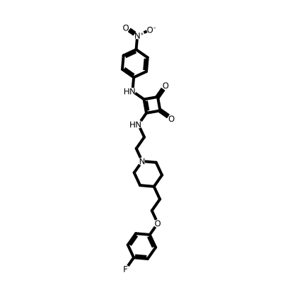 O=c1c(NCCN2CCC(CCOc3ccc(F)cc3)CC2)c(Nc2ccc([N+](=O)[O-])cc2)c1=O